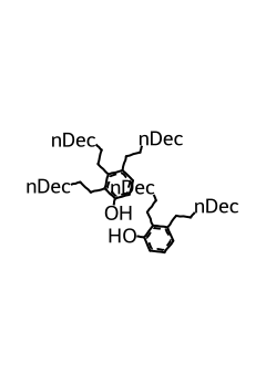 CCCCCCCCCCCCc1ccc(O)c(CCCCCCCCCCCC)c1CCCCCCCCCCCC.CCCCCCCCCCCCc1cccc(O)c1CCCCCCCCCCCC